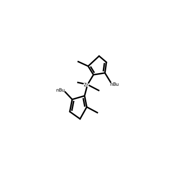 CCCCC1=CCC(C)=[C]1[Zr]([CH3])([CH3])[C]1=C(C)CC=C1CCCC